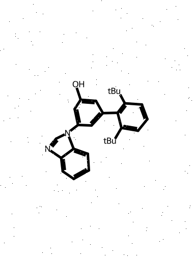 CC(C)(C)c1cccc(C(C)(C)C)c1-c1cc(O)cc(-n2cnc3ccccc32)c1